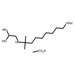 CC(=O)O.CCCCCCCCCCCCCCCCCC(C)(C)NCC(O)CCCC